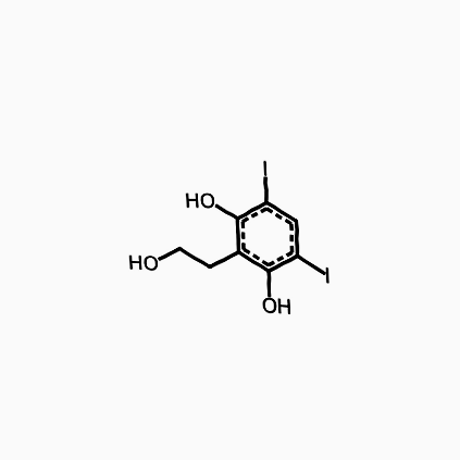 OCCc1c(O)c(I)cc(I)c1O